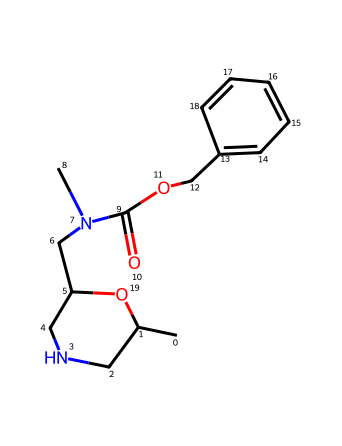 CC1CNCC(CN(C)C(=O)OCc2ccccc2)O1